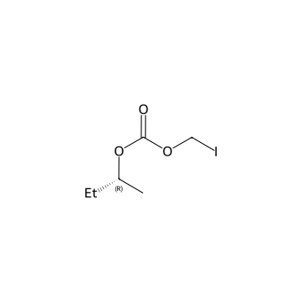 CC[C@@H](C)OC(=O)OCI